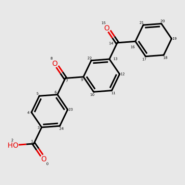 O=C(O)c1ccc(C(=O)c2cccc(C(=O)C3=CCCC=C3)c2)cc1